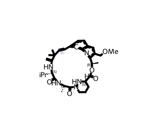 C=C1N[C@@H](C(C)C)C(=O)N[C@@H](C)C(=O)N2CCC[C@H](N2)C(=O)O[C@H](C)c2nc3cc(ccc3cc2COC)/C=C/C1(C)C